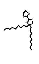 CCCCCCCCCC1(CCCCCCCCC)CSC(c2nccs2)=N1